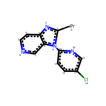 CC(C)c1nc2ccncc2n1-c1ccc(Cl)cn1